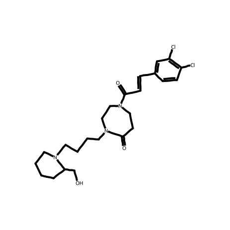 O=C(/C=C/c1ccc(Cl)c(Cl)c1)N1CCC(=O)N(CCCCN2CCCCC2CO)CC1